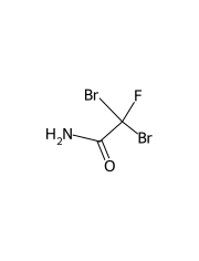 NC(=O)C(F)(Br)Br